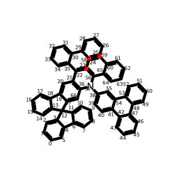 c1ccc2c(c1)-c1ccccc1C21c2ccccc2-c2cc(-c3cc4ccccc4c4ccccc34)c(N(c3ccc4c5ccccc5c5ccccc5c4c3)c3cccc4ccccc34)cc21